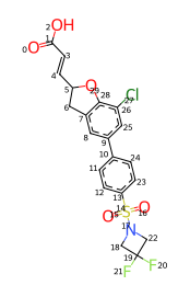 O=C(O)C=CC1Cc2cc(-c3ccc(S(=O)(=O)N4CC(F)(F)C4)cc3)cc(Cl)c2O1